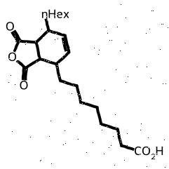 CCCCCCC1C=CC(CCCCCCCC(=O)O)C2C(=O)OC(=O)C12